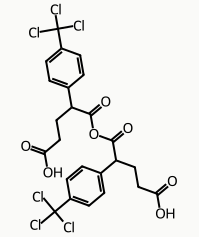 O=C(O)CCC(C(=O)OC(=O)C(CCC(=O)O)c1ccc(C(Cl)(Cl)Cl)cc1)c1ccc(C(Cl)(Cl)Cl)cc1